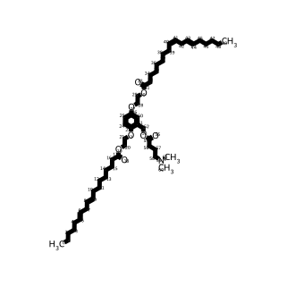 CCCCCC=CCC=CCCCCCCCC(=O)OCCOc1ccc(OCCOC(=O)CCCCCCC/C=C\CC=CCCCCC)cc1COC(=O)CCCN(C)C